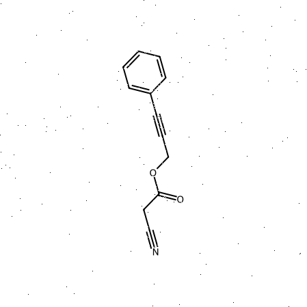 N#CCC(=O)OCC#Cc1ccccc1